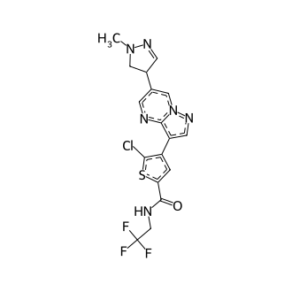 CN1CC(c2cnc3c(-c4cc(C(=O)NCC(F)(F)F)sc4Cl)cnn3c2)C=N1